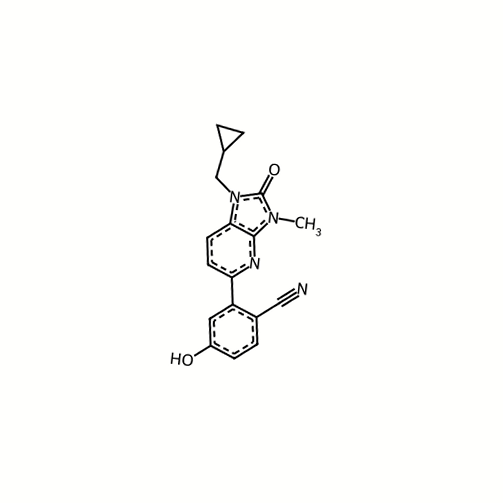 Cn1c(=O)n(CC2CC2)c2ccc(-c3cc(O)ccc3C#N)nc21